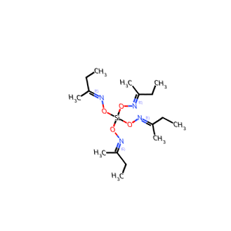 CC/C(C)=N/O[Si](O/N=C(\C)CC)(O/N=C(\C)CC)O/N=C(\C)CC